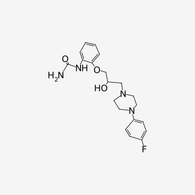 NC(=O)Nc1ccccc1OCC(O)CN1CCN(c2ccc(F)cc2)CC1